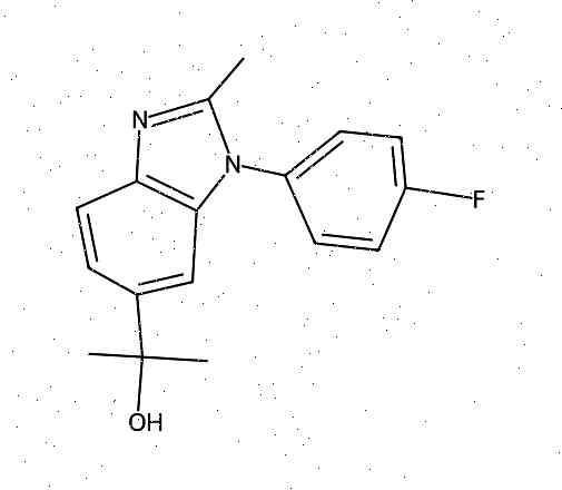 Cc1nc2ccc(C(C)(C)O)cc2n1-c1ccc(F)cc1